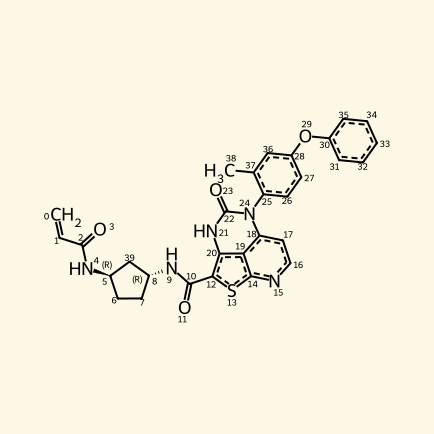 C=CC(=O)N[C@@H]1CC[C@@H](NC(=O)c2sc3nccc4c3c2NC(=O)N4c2ccc(Oc3ccccc3)cc2C)C1